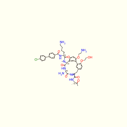 CC(=O)[C@H](C)NC(=O)[C@@H]1Cc2ccc(OCCO)c(c2)-c2cc(ccc2OCCN)[C@H](N(C)C(=O)[C@H](CCCCN)NC(=O)c2ccc(-c3ccc(Cl)cc3)cc2)C(=O)N[C@@H](N)C(=O)N1